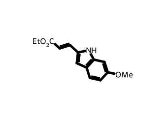 CCOC(=O)/C=C/c1cc2ccc(OC)cc2[nH]1